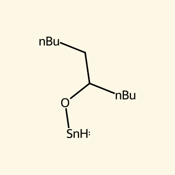 CCCCCC(CCCC)[O][SnH]